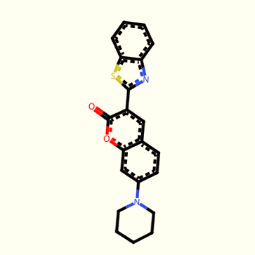 O=c1oc2cc(N3CCCCC3)ccc2cc1-c1nc2ccccc2s1